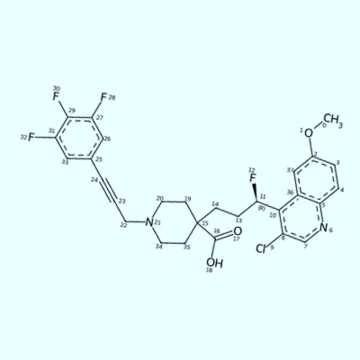 COc1ccc2ncc(Cl)c([C@H](F)CCC3(C(=O)O)CCN(CC#Cc4cc(F)c(F)c(F)c4)CC3)c2c1